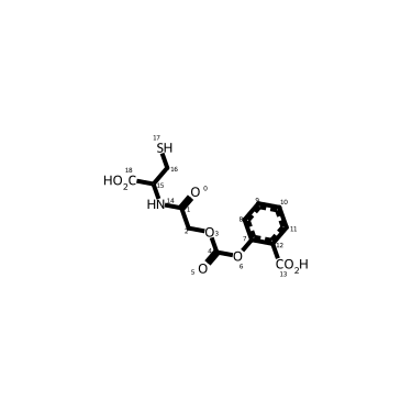 O=C(COC(=O)Oc1ccccc1C(=O)O)NC(CS)C(=O)O